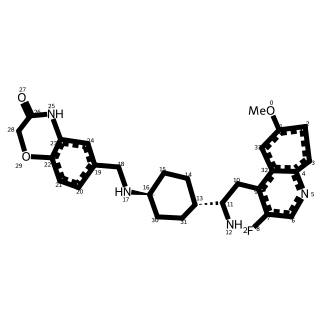 COc1ccc2ncc(F)c(CC(N)[C@H]3CC[C@H](NCc4ccc5c(c4)NC(=O)CO5)CC3)c2c1